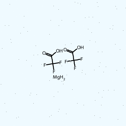 O=C(O)C(F)(F)F.O=C(O)C(F)(F)F.[MgH2]